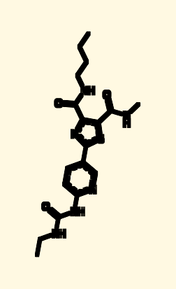 CCCCNC(=O)c1nc(-c2ccc(NC(=O)NCC)nc2)sc1C(=O)NC